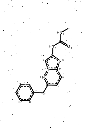 CNC(=O)Nc1cn2nc(Cc3ccccc3)ccc2n1